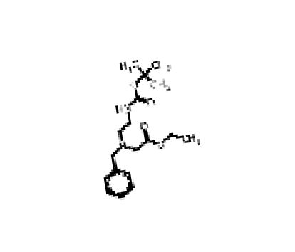 CCOC(=O)CN(CCNC(=O)OC(C)(C)C)Cc1ccccc1